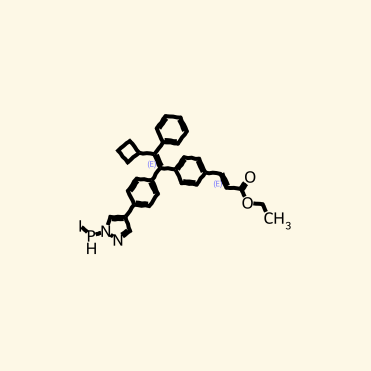 CCOC(=O)/C=C/c1ccc(/C(=C(\c2ccccc2)C2CCC2)c2ccc(-c3cnn(PI)c3)cc2)cc1